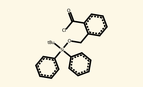 CC(C)(C)[Si](OCc1ccccc1C(=O)Cl)(c1ccccc1)c1ccccc1